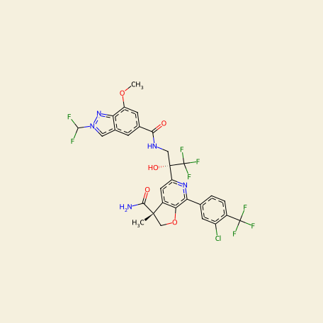 COc1cc(C(=O)NC[C@](O)(c2cc3c(c(-c4ccc(C(F)(F)F)c(Cl)c4)n2)OC[C@]3(C)C(N)=O)C(F)(F)F)cc2cn(C(F)F)nc12